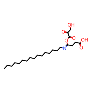 CCCCCCCCCCCCCCCCN=C(CCC(=O)O)OC(=O)C(=O)CO